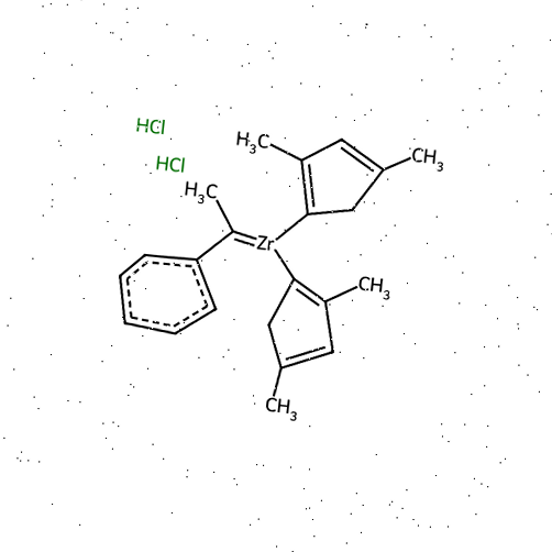 CC1=CC(C)=[C]([Zr]([C]2=C(C)C=C(C)C2)=[C](C)c2ccccc2)C1.Cl.Cl